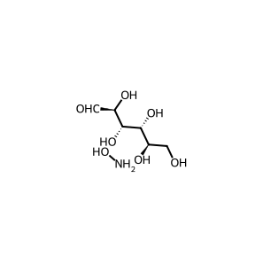 NO.O=C[C@@H](O)[C@@H](O)[C@H](O)[C@H](O)CO